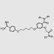 CCN(CC)C(=O)COc1cc(OCCCCCOc2ccc(C(=N)N)cc2)ccc1C(=O)N(C(C)C)C(C)C